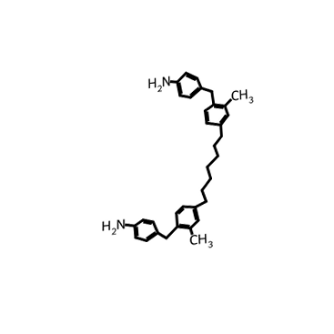 Cc1cc(CCCCCCCc2ccc(Cc3ccc(N)cc3)c(C)c2)ccc1Cc1ccc(N)cc1